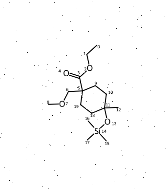 CCOC(=O)C1(COC)CCC(C)(O[Si](C)(C)C)CC1